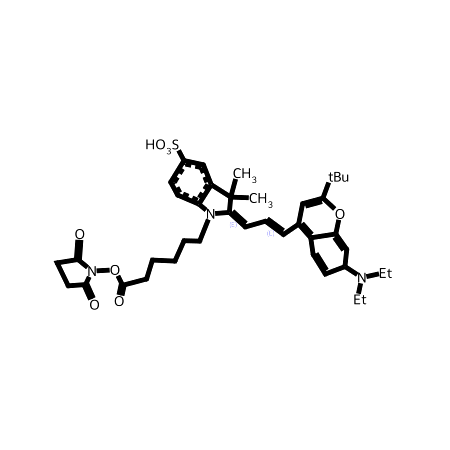 CCN(CC)C1C=CC2=C(/C=C/C=C3/N(CCCCCC(=O)ON4C(=O)CCC4=O)c4ccc(S(=O)(=O)O)cc4C3(C)C)C=C(C(C)(C)C)OC2=C1